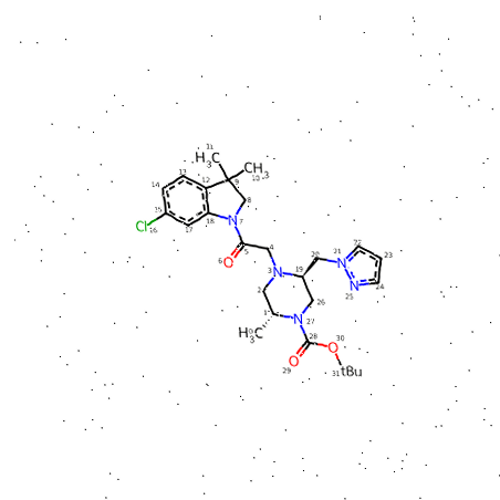 C[C@@H]1CN(CC(=O)N2CC(C)(C)c3ccc(Cl)cc32)[C@@H](Cn2cccn2)CN1C(=O)OC(C)(C)C